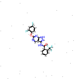 O=C(Nc1n[nH]c2nc(Oc3ccc(F)cc3F)ncc12)c1ccccc1C(F)(F)F